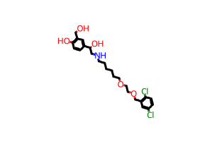 OCc1cc([C@@H](O)CNCCCCCCOCCOCc2cc(Cl)ccc2Cl)ccc1O